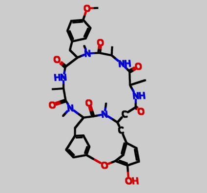 COc1ccc(CC2C(=O)NC(C)C(=O)N(C)C3Cc4ccc(cc4)Oc4cc(ccc4O)CC(CC(=O)NC(C)C(=O)NC(C)C(=O)N2C)N(C)C3=O)cc1